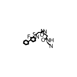 N#CCNC(=O)Cc1nnc(Cc2nc3ccc(-c4ccccc4)c(F)c3s2)o1